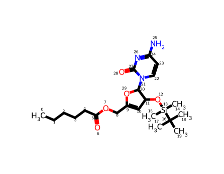 CCCCCC(=O)OCC1=CC(O[Si](C)(C)C(C)(C)C)C(n2ccc(N)nc2=O)O1